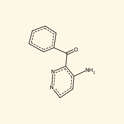 Nc1ccnnc1C(=O)c1ccccc1